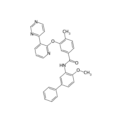 COc1ccc(-c2ccccc2)cc1NC(=O)c1ccc(C)c(Oc2ncccc2-c2ccncn2)c1